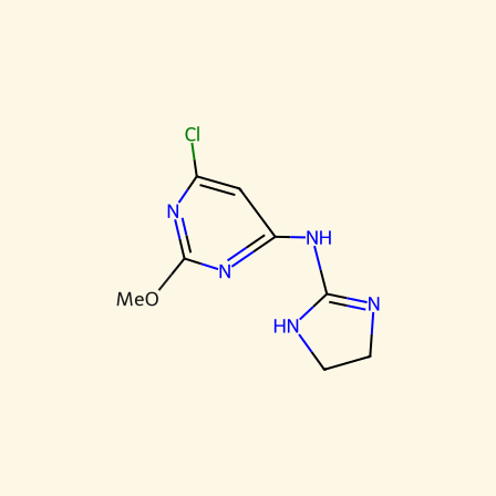 COc1nc(Cl)cc(NC2=NCCN2)n1